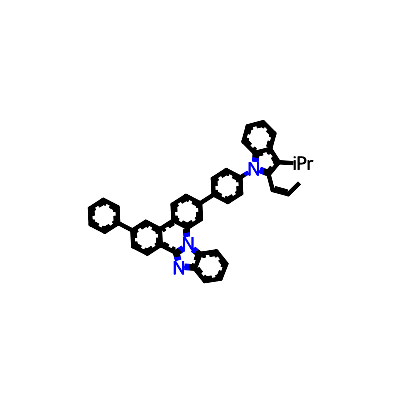 C/C=C\c1c(C(C)C)c2ccccc2n1-c1ccc(-c2ccc3c4cc(-c5ccccc5)ccc4c4nc5ccccc5n4c3c2)cc1